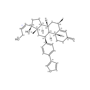 C[C@@H]1C[C@@H]2[C@H]([C@@H](c3ccc(-c4ccoc4)cc3)C[C@@]3(C)[C@H]2CC[C@@]3(O)/C=C\CO)[C@H]2CCC(=O)C=C12